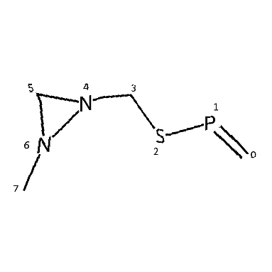 C=PSCN1CN1C